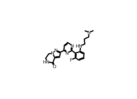 CN(C)CCCNc1cccc(F)c1-c1nccc(-c2cc3n(n2)CCNC3=O)n1